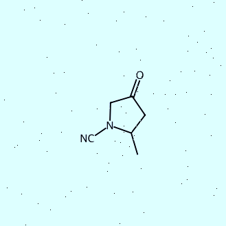 CC1CC(=O)CN1C#N